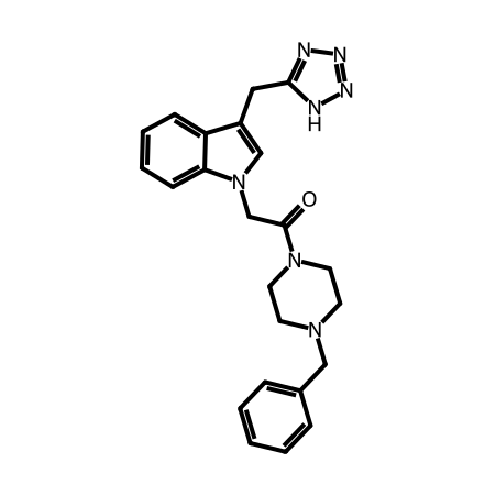 O=C(Cn1cc(Cc2nnn[nH]2)c2ccccc21)N1CCN(Cc2ccccc2)CC1